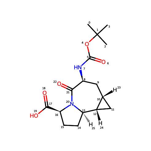 CC(C)(C)OC(=O)N[C@H]1C[C@@H]2C[C@@H]2[C@H]2CC[C@@H](C(=O)O)N2C1=O